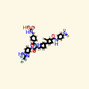 Cc1cc(C(=O)NC2CCC(N(C)C)CC2)ccc1-c1ccc(C[C@H](NC(=O)[C@H]2CC[C@H](CNC(=O)O)CC2)C(=O)Nc2ccc3[nH]c(C(F)(F)F)nc3c2)cc1